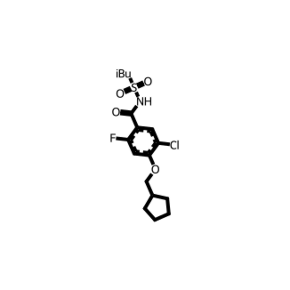 CCC(C)S(=O)(=O)NC(=O)c1cc(Cl)c(OCC2CCCC2)cc1F